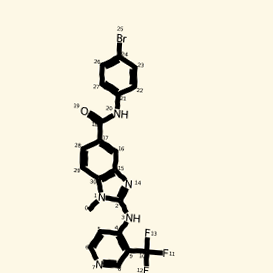 Cn1c(Nc2ccncc2C(F)(F)F)nc2cc(C(=O)Nc3ccc(Br)cc3)ccc21